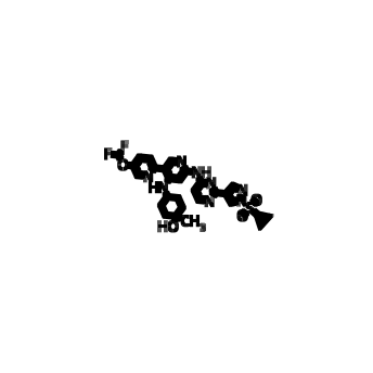 CC1(O)CCC(Nc2cc(Nc3ccnc(-c4cnn(S(=O)(=O)C5CC5)c4)n3)ncc2-c2ccc(OC(F)F)cn2)CC1